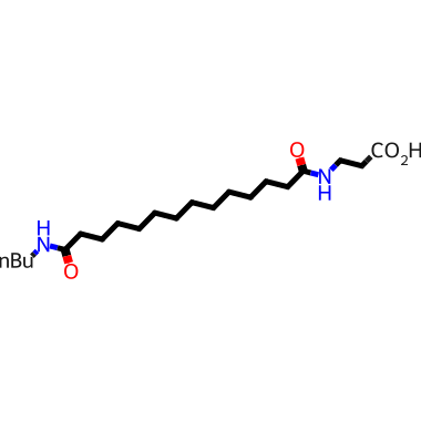 CCCCNC(=O)CCCCCCCCCCCCC(=O)NCCC(=O)O